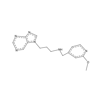 COc1cc(CNCCCn2cnc3ncncc32)ccn1